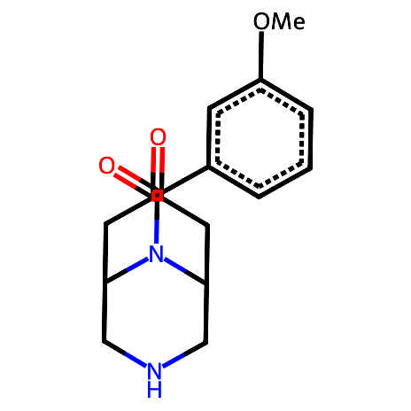 COc1cccc(C(=O)N2C3CNCC2CC(=O)C3)c1